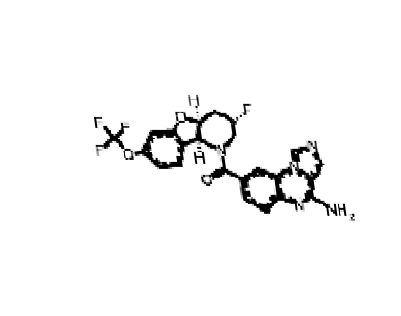 Nc1nc2ccc(C(=O)N3C[C@@H](F)C[C@@H]4Oc5cc(OC(F)(F)F)ccc5[C@@H]43)cc2n2cncc12